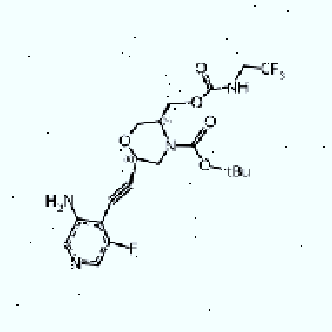 CC(C)(C)OC(=O)N1C[C@@H](C#Cc2c(N)cncc2F)OC[C@H]1COC(=O)NCC(F)(F)F